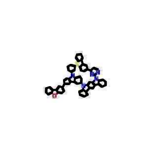 c1ccc(-n2c3ccc(-c4ccc5oc6ccccc6c5c4)cc3c3cc(-n4c5ccccc5c5cc6c7ccccc7n(-c7nccc(-c8ccc9sc%10ccccc%10c9c8)n7)c6cc54)ccc32)cc1